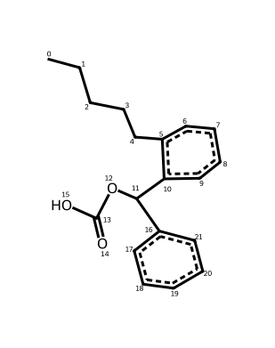 CCCCCc1ccccc1C(OC(=O)O)c1ccccc1